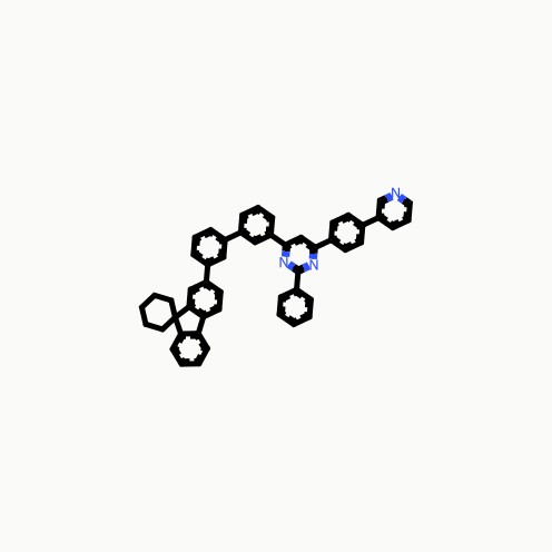 c1ccc(-c2nc(-c3ccc(-c4cccnc4)cc3)cc(-c3cccc(-c4cccc(-c5ccc6c(c5)C5(CCCCC5)c5ccccc5-6)c4)c3)n2)cc1